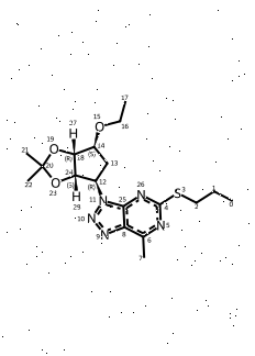 CCCSc1nc(C)c2nnn([C@@H]3C[C@H](OCC)[C@H]4OC(C)(C)O[C@H]43)c2n1